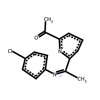 CC(=O)c1cccc(/C(C)=N\c2ccc(Cl)cc2)n1